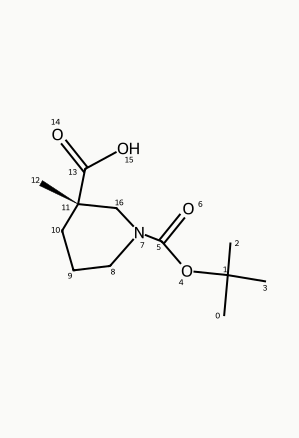 CC(C)(C)OC(=O)N1CCC[C@](C)(C(=O)O)C1